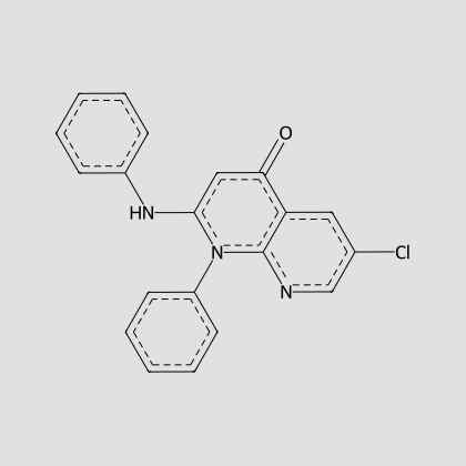 O=c1cc(Nc2ccccc2)n(-c2ccccc2)c2ncc(Cl)cc12